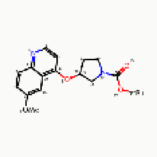 COc1ccc2nccc(O[C@H]3CCN(C(=O)OC(C)(C)C)C3)c2c1